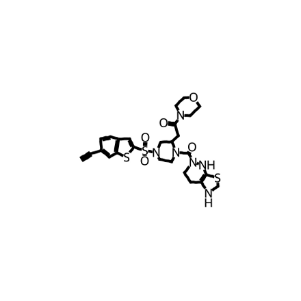 C#Cc1ccc2cc(S(=O)(=O)N3CCN(C(=O)N4CCC5=C(N4)SCN5)C(CC(=O)N4CCOCC4)C3)sc2c1